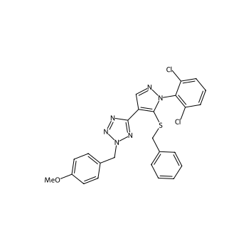 COc1ccc(Cn2nnc(-c3cnn(-c4c(Cl)cccc4Cl)c3SCc3ccccc3)n2)cc1